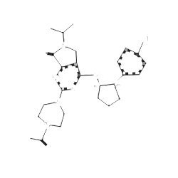 CC(=O)N1CCN(c2nc(N[C@@H]3CCC[C@@H]3c3ccc(Cl)cc3)c3c(n2)C(=O)N(C(C)C)C3)CC1